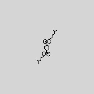 CC(C)CCCCOC(=O)C1CCC(C(=O)OCCCC(C)C)CC1